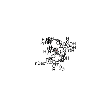 CCCCCCCCCCCCNCc1c(O)cc2c(c1O)-c1cc(ccc1O)[C@H]1CC(=O)[C@@H]3NC(=O)[C@H](CC(N)=O)CC(=O)[C@H](NC(=O)[C@H](CC)CC(C)C)[C@H](O)c4ccc(c(Cl)c4)Oc4cc3cc(c4O[C@@H]3O[C@H](CO)[C@@H](O)[C@H](O)[C@H]3O)Oc3ccc(cc3Cl)[C@@H](O)[C@H](NC1=O)C(=O)N[C@@H]2C(=O)CC1C2CC3CC(C2)CC1C3